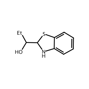 CCC(O)C1Nc2ccccc2S1